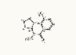 CCC[C@H](C(=O)c1cccc(C)c1)N1CCCC1